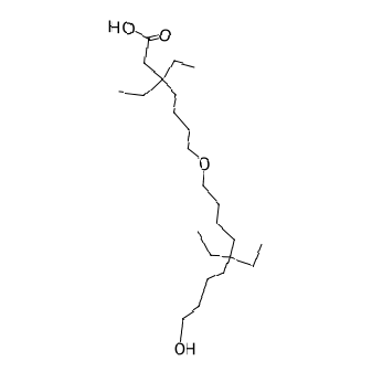 CCC(CC)(CCCCO)CCCCOCCCCC(CC)(CC)CC(=O)O